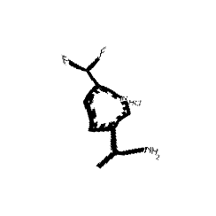 CC(N)c1ccc(C(F)F)nc1.Cl